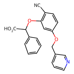 N#Cc1ccc(OCc2cccnc2)cc1OC(C(=O)O)c1ccccc1